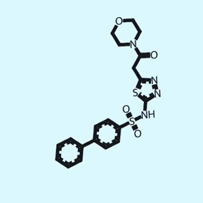 O=C(Cc1nnc(NS(=O)(=O)c2ccc(-c3ccccc3)cc2)s1)N1CCOCC1